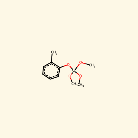 CO[Si](OC)(OC)Oc1ccccc1C